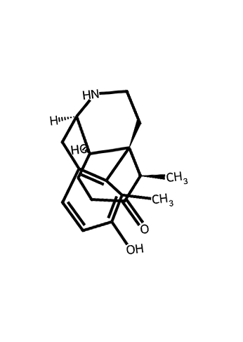 Cc1c(O)ccc2c1[C@]13CCN[C@H](C2)[C@]1(O)CCC(=O)[C@@H]3C